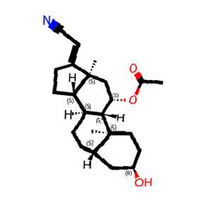 CC(=O)O[C@H]1C[C@]2(C)C(=CC#N)CC[C@H]2[C@@H]2CC[C@H]3C[C@H](O)CC[C@]3(C)[C@H]21